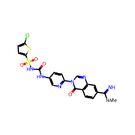 CNC(=N)c1ccc2c(=O)n(-c3ccc(NC(=O)NS(=O)(=O)c4ccc(Cl)s4)cn3)cnc2c1